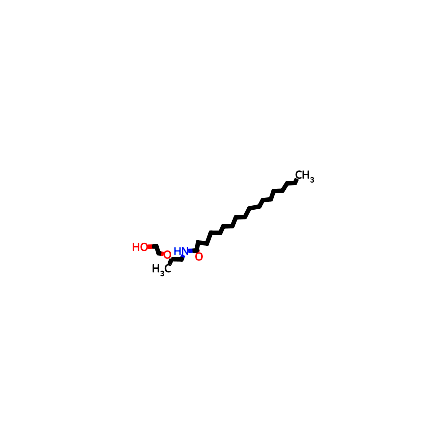 CCCCCCCCCCCCCCCCCC(=O)NCC(C)OCCO